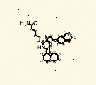 NC(=O)CCCCC[C@H](NC(=O)[C@@H]1CCCN2CCCC[C@H]12)c1ncc(-c2ccc3ccncc3c2)[nH]1